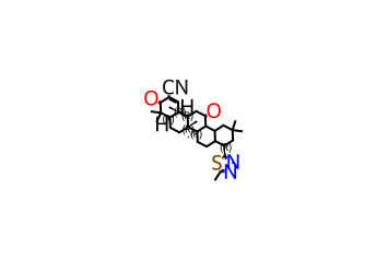 Cc1nnc([C@@H]2CC(C)(C)CC3C2CC[C@]2(C)C3C(=O)C[C@@H]3[C@@]4(C)C=C(C#N)C(=O)C(C)(C)[C@@H]4CC[C@]32C)s1